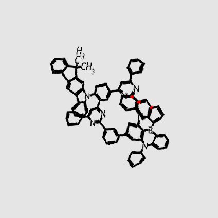 CC1(C)c2ccccc2-c2cc3c4ccccc4n(-c4ccc(-c5cc(-c6ccccc6)nc(-c6ccccc6)n5)cc4-c4cc(-c5ccccc5)nc(-c5cccc(-c6cc7c8c(c6)N(c6ccccc6)c6ccccc6B8c6ccccc6N7c6ccccc6)c5)n4)c3cc21